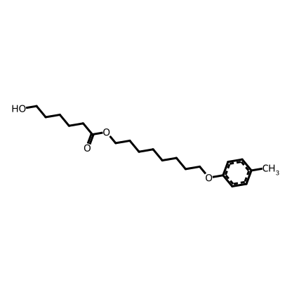 Cc1ccc(OCCCCCCCCOC(=O)CCCCCO)cc1